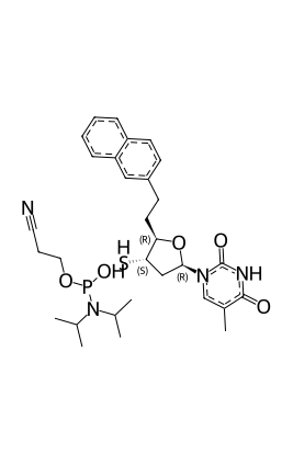 CC(C)N(C(C)C)P(O)OCCC#N.Cc1cn([C@H]2C[C@H](S)[C@@H](CCc3ccc4ccccc4c3)O2)c(=O)[nH]c1=O